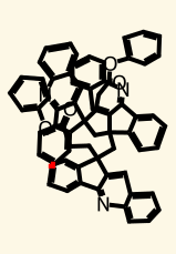 O=C(CCC1(CC2(CC3(CCC(=O)Oc4ccccc4)c4ccccc4-c4nc5ccccc5cc43)c3ccccc3-c3nc4ccccc4cc32)c2ccccc2-c2nc3ccccc3cc21)Oc1ccccc1